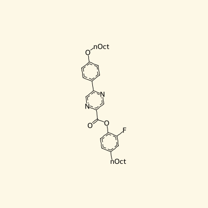 CCCCCCCCOc1ccc(-c2cnc(C(=O)Oc3ccc(CCCCCCCC)cc3F)cn2)cc1